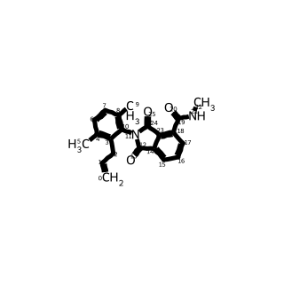 C=CCc1c(C)ccc(C)c1N1C(=O)c2cccc(C(=O)NC)c2C1=O